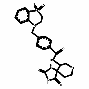 O=C1NC(=O)C2(CCOCC2NC(=O)c2ccc(CN3CCS(=O)(=O)c4ccccc43)cc2)N1